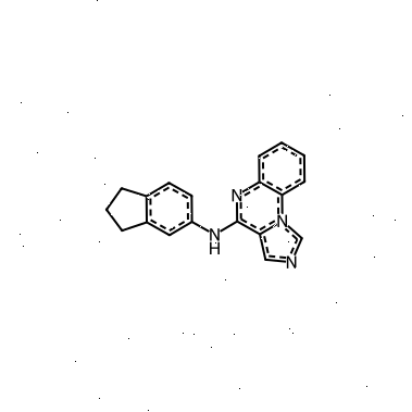 c1ccc2c(c1)nc(Nc1ccc3c(c1)CCC3)c1cncn12